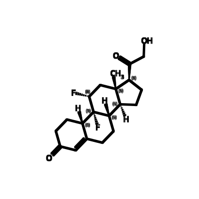 C[C@]12C[C@@H](F)[C@]3(F)[C@H]4CCC(=O)C=C4CC[C@H]3[C@@H]1CC[C@@H]2C(=O)CO